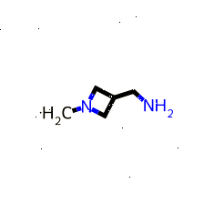 [CH2]N1CC(CN)C1